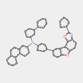 c1ccc(-c2cccc(N(c3ccc(-c4ccc5oc6ccc7nc(-c8ccccc8)oc7c6c5c4)cc3)c3ccc4c(ccc5ccccc54)c3)c2)cc1